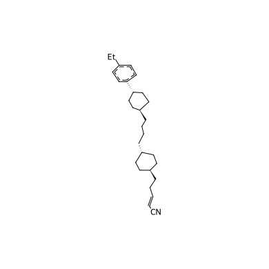 CCc1ccc([C@H]2CC[C@H](CCCC[C@H]3CC[C@H](CCC=CC#N)CC3)CC2)cc1